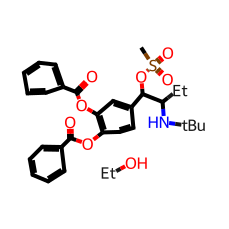 CCC(NC(C)(C)C)C(OS(C)(=O)=O)c1ccc(OC(=O)c2ccccc2)c(OC(=O)c2ccccc2)c1.CCO